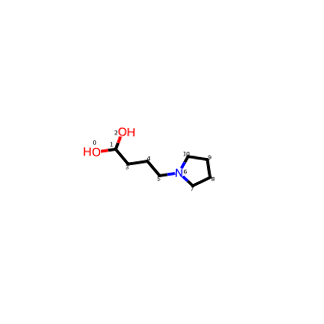 OC(O)CCCN1CCCC1